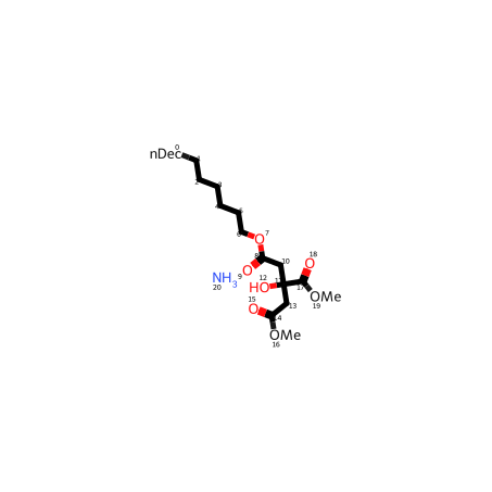 CCCCCCCCCCCCCCCCOC(=O)CC(O)(CC(=O)OC)C(=O)OC.N